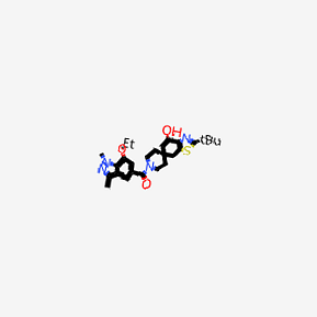 CCOc1cc(C(=O)N2CCC3(CC2)Cc2sc(C(C)(C)C)nc2[C@H](O)C3)cc2c(C)nn(C)c12